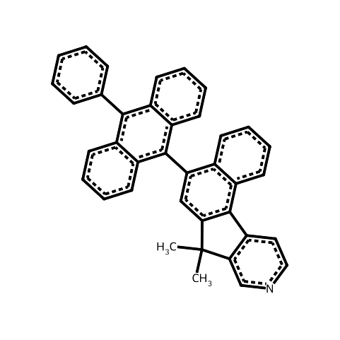 CC1(C)c2cnccc2-c2c1cc(-c1c3ccccc3c(-c3ccccc3)c3ccccc13)c1ccccc21